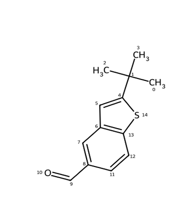 CC(C)(C)c1cc2cc(C=O)ccc2s1